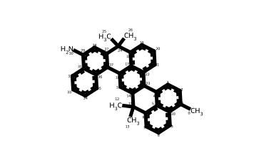 Cc1ccc2c3c(cccc13)C(C)(C)c1cc3c4c(cccc4c1-2)C(C)(C)c1cc(N)c2ccccc2c1-3